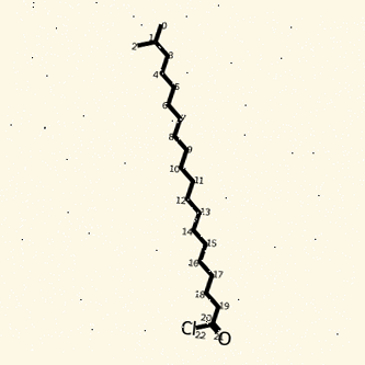 CC(C)CCCCCCCCCCCCCCCCCC(=O)Cl